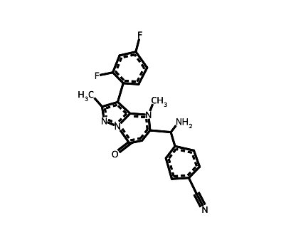 Cc1nn2c(=O)cc(C(N)c3ccc(C#N)cc3)n(C)c2c1-c1ccc(F)cc1F